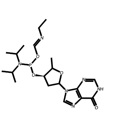 CC/N=C/OP(O[C@@H]1CC(n2cnc3c(=O)[nH]cnc32)OC1C)N(C(C)C)C(C)C